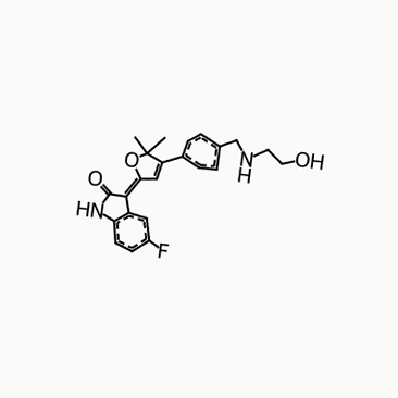 CC1(C)OC(=C2C(=O)Nc3ccc(F)cc32)C=C1c1ccc(CNCCO)cc1